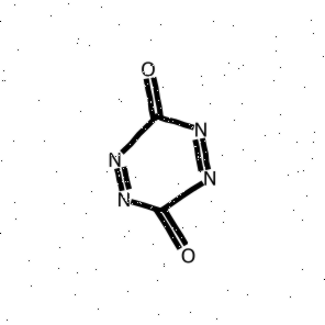 O=C1N=NC(=O)N=N1